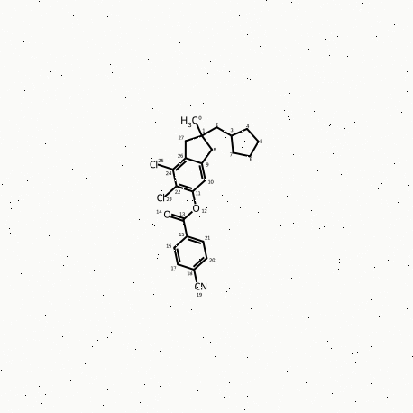 CC1(CC2CCCC2)Cc2cc(OC(=O)c3ccc(C#N)cc3)c(Cl)c(Cl)c2C1